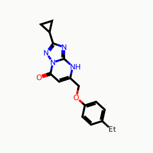 CCc1ccc(OCc2cc(=O)n3nc(C4CC4)nc3[nH]2)cc1